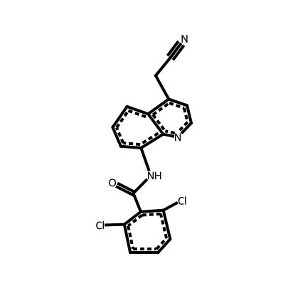 N#CCc1ccnc2c(NC(=O)c3c(Cl)cccc3Cl)cccc12